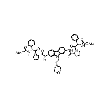 COC(=O)N[C@@H](C(=O)N1CCC[C@H]1C(=O)Nc1ccc2c3ccc(NC(=O)[C@@H]4CCCN4C(=O)[C@H](NC(=O)OC)c4ccccc4)cc3n(CCN3CCOCC3)c2c1)c1ccccc1